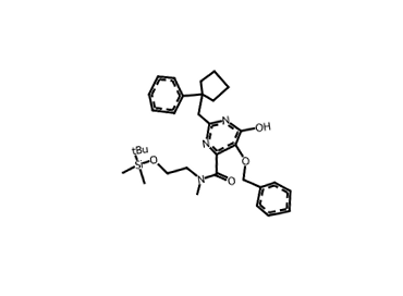 CN(CCO[Si](C)(C)C(C)(C)C)C(=O)c1nc(CC2(c3ccccc3)CCCC2)nc(O)c1OCc1ccccc1